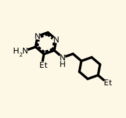 CCc1c(N)ncnc1NCC1CCC(CC)CC1